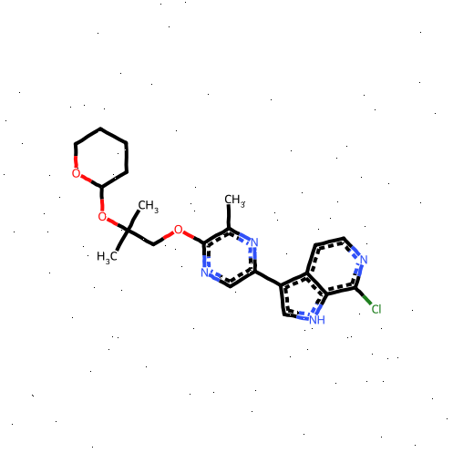 Cc1nc(-c2c[nH]c3c(Cl)nccc23)cnc1OCC(C)(C)OC1CCCCO1